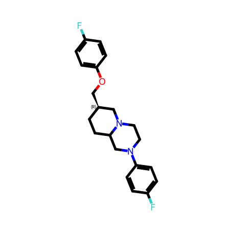 Fc1ccc(OC[C@@H]2CCC3CN(c4ccc(F)cc4)CCN3C2)cc1